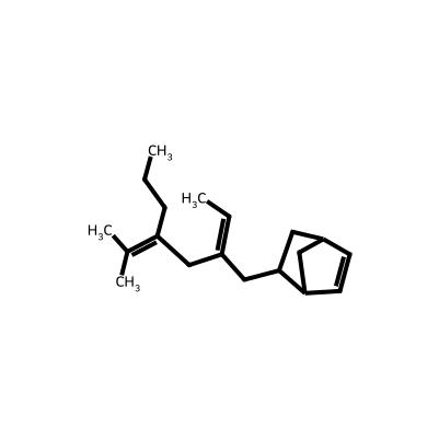 CC=C(CC(CCC)=C(C)C)CC1CC2C=CC1C2